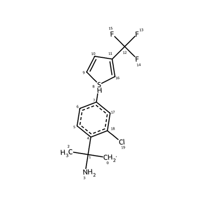 [CH2]C(C)(N)c1ccc([SH]2C=CC(C(F)(F)F)=C2)cc1Cl